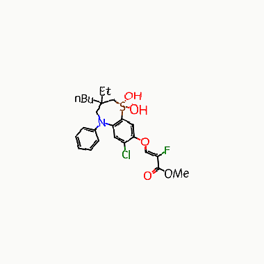 CCCCC1(CC)CN(c2ccccc2)c2cc(Cl)c(O/C=C(\F)C(=O)OC)cc2S(O)(O)C1